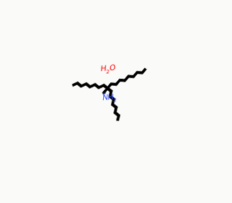 CCCCCCCCCC(CN)(CCCCCCCC)CCCCCCCC.O